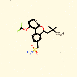 CC(C)(CC1Oc2cccc(OC(F)F)c2-c2ccc(CS(N)(=O)=O)cc21)C(=O)O